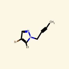 CC#CCn1n[c]c(Br)c1CC